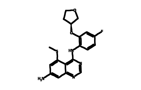 CSc1cc(N)cc2ncnc(Nc3ccc(F)cc3O[C@H]3CCOC3)c12